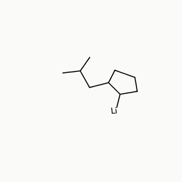 [Li][CH]1CCCC1CC(C)C